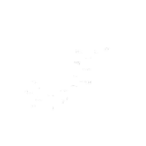 Cc1cc(/C(F)=C/C(c2cc(Cl)c(Cl)c(Cl)c2)C(F)F)ccc1C(=O)NC(C)CSCC(F)(F)F